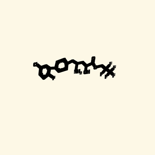 NC(Cc1ccc(-c2cc(Cl)ccc2F)cc1)CC(O)C(=O)OCC(F)(F)C(F)(F)F